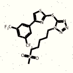 CS(=O)(=O)CCCCCn1nnnc1Sc1nc(-c2cc(C(F)(F)F)cc(C(F)(F)F)c2)cs1